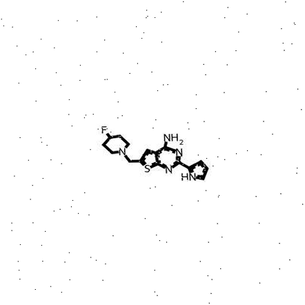 Nc1nc(-c2ccc[nH]2)nc2sc(CN3CCC(F)CC3)cc12